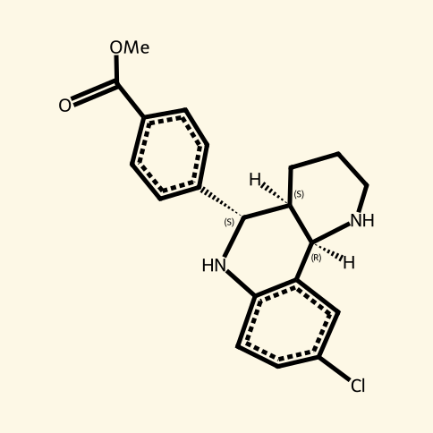 COC(=O)c1ccc([C@H]2Nc3ccc(Cl)cc3[C@@H]3NCCC[C@H]23)cc1